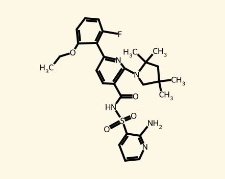 CCOc1cccc(F)c1-c1ccc(C(=O)NS(=O)(=O)c2cccnc2N)c(N2CC(C)(C)CC2(C)C)n1